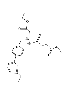 CCOC(=O)C[C@@H](Cc1ccc(-c2cccc(OC)c2)cc1)NC(=O)CCC(=O)OC